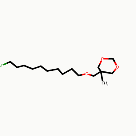 CC1(COCCCCCCCCCCBr)COCOC1